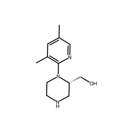 Cc1cnc(N2CCNC[C@H]2CO)c(C)c1